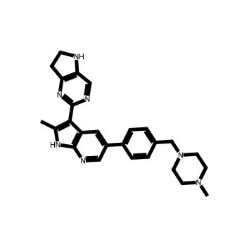 Cc1[nH]c2ncc(-c3ccc(CN4CCN(C)CC4)cc3)cc2c1-c1ncc2c(n1)CCN2